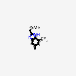 CSCc1nc2cc(C)cc(C(F)(F)F)c2[nH]1